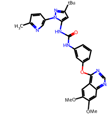 COc1cc2ncnc(Oc3cccc(NC(=O)Nc4cc(C(C)(C)C)nn4-c4ccc(C)nc4)c3)c2cc1OC